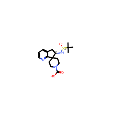 CC(C)(C)[S@@+]([O-])N[C@@H]1Cc2cccnc2C12CCN(C(=O)O)CC2